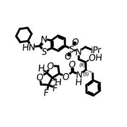 CC(C)CN(C[C@@H](O)[C@H](Cc1ccccc1)NC(=O)OC1CO[C@H]2OCC(F)(F)[C@@H]12)S(=O)(=O)c1ccc2nc(NC3CCCCC3)sc2c1